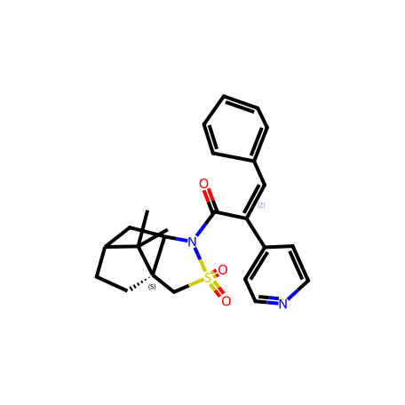 CC1(C)C2CC[C@]13CS(=O)(=O)N(C(=O)/C(=C\c1ccccc1)c1ccncc1)C3C2